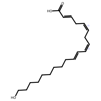 O=C(O)C=CC/C=C\C/C=C\C=CCCCCCCCCCO